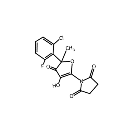 CC1(c2c(F)cccc2Cl)OC(N2C(=O)CCC2=O)=C(O)C1=O